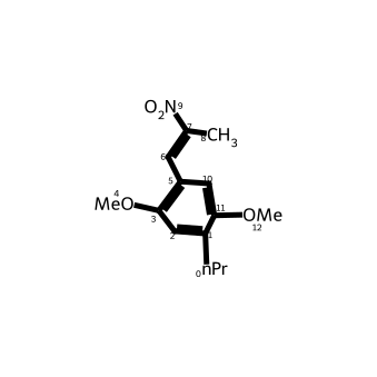 CCCc1cc(OC)c(C=C(C)[N+](=O)[O-])cc1OC